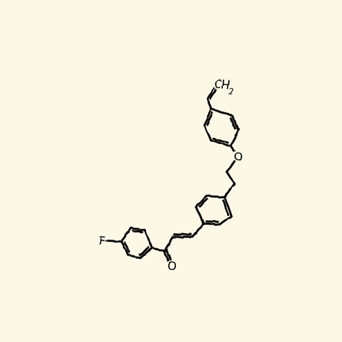 C=Cc1ccc(OCCc2ccc(C=CC(=O)c3ccc(F)cc3)cc2)cc1